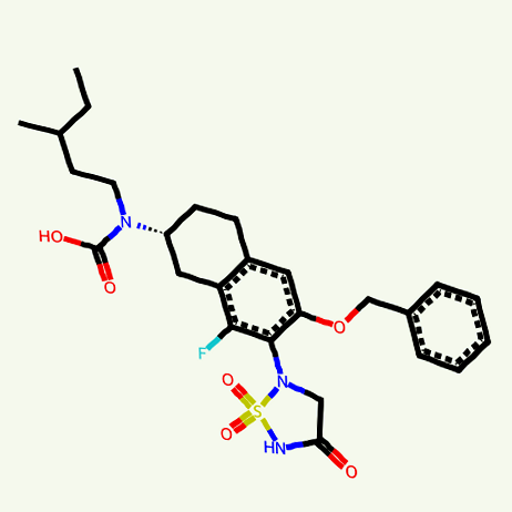 CCC(C)CCN(C(=O)O)[C@@H]1CCc2cc(OCc3ccccc3)c(N3CC(=O)NS3(=O)=O)c(F)c2C1